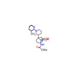 COC(=O)NC12CCC(C3CCCN(c4ncccc4C)C3)(CC(O)C1)N2C(=O)O